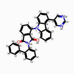 O=C1c2cccc(-n3c4ccccc4c4c(-c5cncnc5)cccc43)c2C(=O)N1c1ccccc1-c1ccccc1